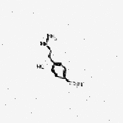 CCOC(=O)c1ccc(CCNN)cc1.Cl